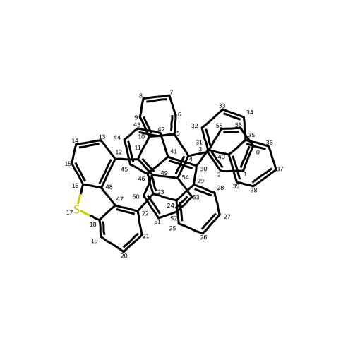 c1ccc(-c2c3ccccc3c(-c3cccc4sc5cccc(-c6c7ccccc7c(-c7cccc8ccccc78)c7ccccc67)c5c34)c3ccccc23)cc1